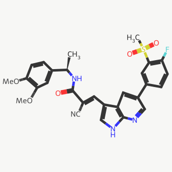 COc1ccc([C@@H](C)NC(=O)/C(C#N)=C/c2c[nH]c3ncc(-c4ccc(F)c(S(C)(=O)=O)c4)cc23)cc1OC